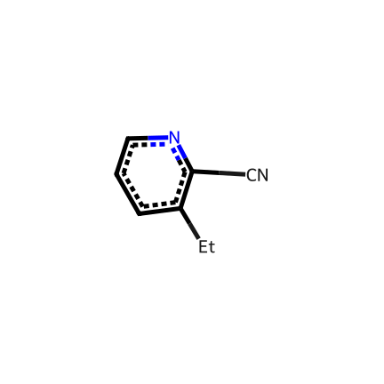 CCc1cccnc1C#N